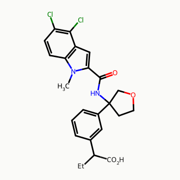 CCC(C(=O)O)c1cccc(C2(NC(=O)c3cc4c(Cl)c(Cl)ccc4n3C)CCOC2)c1